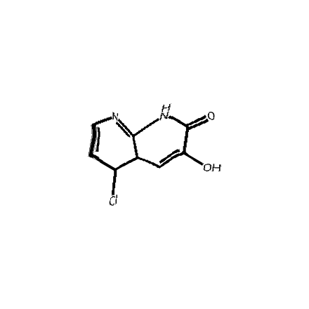 O=C1NC2=NC=CC(Cl)C2C=C1O